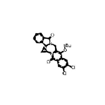 CCCCOc1c(CN2C(=O)c3ccccc3C2=O)n(C2CC2)c(=O)c2cc(Cl)c(Cl)cc12